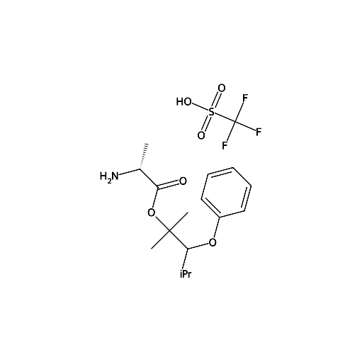 CC(C)C(Oc1ccccc1)C(C)(C)OC(=O)[C@@H](C)N.O=S(=O)(O)C(F)(F)F